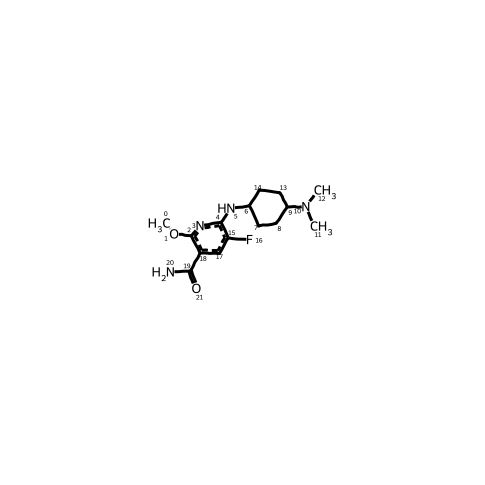 COc1nc(NC2CCC(N(C)C)CC2)c(F)cc1C(N)=O